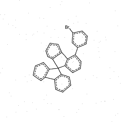 Brc1cccc(-c2cccc3c2-c2ccccc2C32c3ccccc3-c3ccccc32)c1